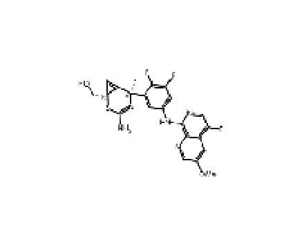 COc1cnc2c(Nc3cc(F)c(F)c([C@@]4(C)N=C(N)S[C@@]5(CO)C=C54)c3)ncc(F)c2c1